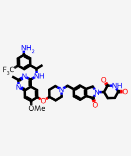 COc1cc2nc(C)nc(NC(C)c3cc(N)cc(C(F)(F)F)c3)c2cc1OC1CCN(Cc2ccc3c(c2)CN(C2CCC(=O)NC2=O)C3=O)CC1